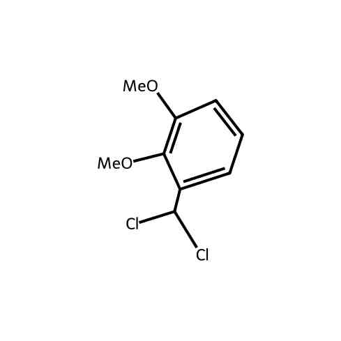 COc1cccc(C(Cl)Cl)c1OC